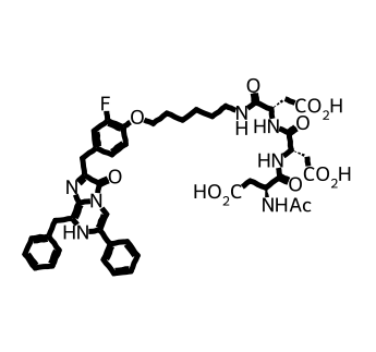 CC(=O)N[C@@H](CC(=O)O)C(=O)N[C@@H](CC(=O)O)C(=O)N[C@@H](CC(=O)O)C(=O)NCCCCCCOc1ccc(Cc2nc3c(Cc4ccccc4)[nH]c(-c4ccccc4)cn-3c2=O)cc1F